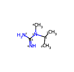 CC(C)N(C)C(=N)N